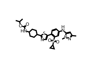 Cc1cc(Nc2ccc(-c3cnc(C4CCC(NC(=O)OC(C)C)CC4)s3)c(S(=O)(=O)C3CC3)c2)n(C)n1